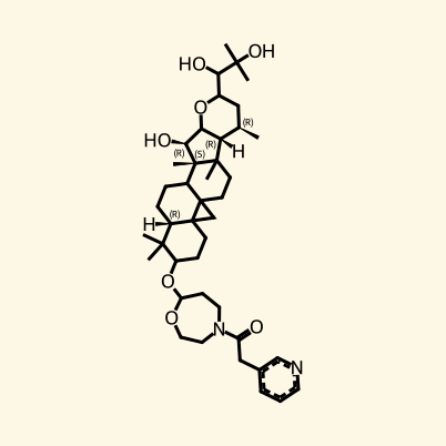 C[C@@H]1CC(C(O)C(C)(C)O)OC2[C@H]1C1(C)CCC34CC35CCC(OC3CCN(C(=O)Cc6cccnc6)CCO3)C(C)(C)[C@@H]5CCC4[C@]1(C)[C@H]2O